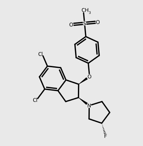 CS(=O)(=O)c1ccc(O[C@@H]2c3cc(Cl)cc(Cl)c3C[C@@H]2N2CC[C@H](F)C2)cc1